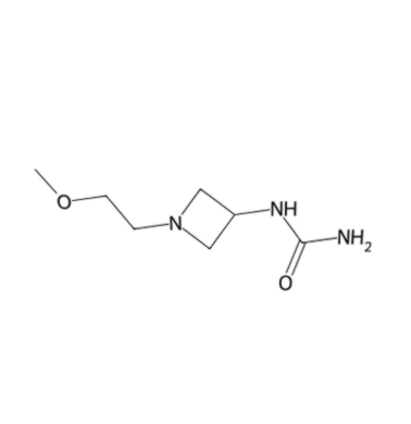 COCCN1CC(NC(N)=O)C1